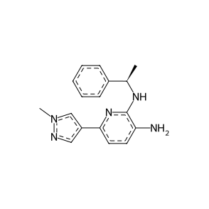 C[C@@H](Nc1nc(-c2cnn(C)c2)ccc1N)c1ccccc1